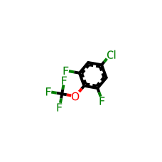 Fc1cc(Cl)cc(F)c1OC(F)(F)F